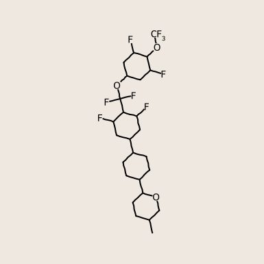 CC1CCC(C2CCC(C3CC(F)C(C(F)(F)OC4CC(F)C(OC(F)(F)F)C(F)C4)C(F)C3)CC2)OC1